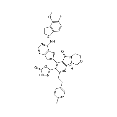 COc1c(F)ccc2c1CC[C@H]2Nc1nccc2cc(-c3c4c(nc(CCc5ccc(F)cc5)c3-c3n[nH]c(=O)o3)[C@@H]3COCCN3C4=O)sc12